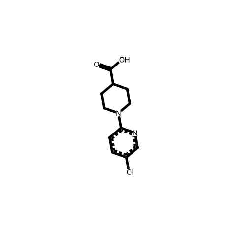 O=C(O)C1CCN(c2ccc(Cl)cn2)CC1